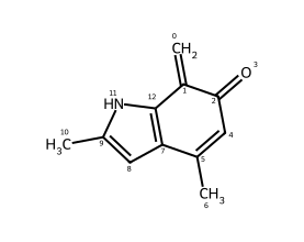 C=C1C(=O)C=C(C)c2cc(C)[nH]c21